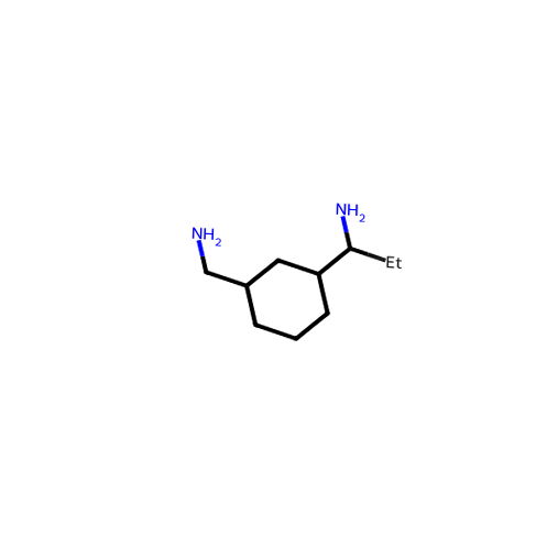 CCC(N)C1CCCC(CN)C1